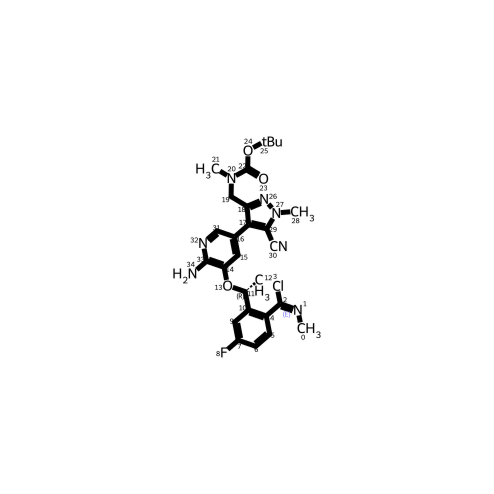 C/N=C(/Cl)c1ccc(F)cc1[C@@H](C)Oc1cc(-c2c(CN(C)C(=O)OC(C)(C)C)nn(C)c2C#N)cnc1N